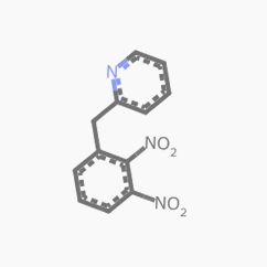 O=[N+]([O-])c1cccc(Cc2ccccn2)c1[N+](=O)[O-]